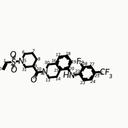 C=CS(=O)(=O)N1CCCC(C(=O)N2CCc3c(cccc3Nc3ccc(C(F)(F)F)cc3F)C2)C1